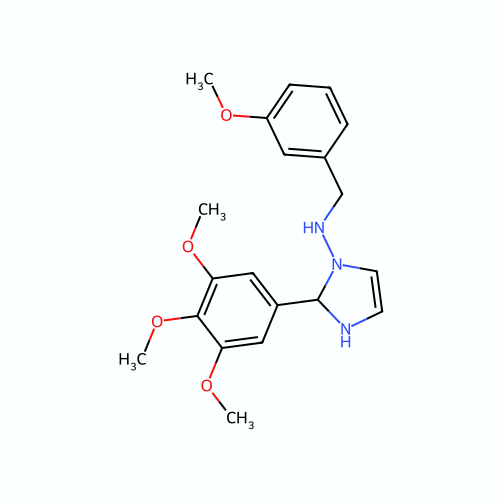 COc1cccc(CNN2C=CNC2c2cc(OC)c(OC)c(OC)c2)c1